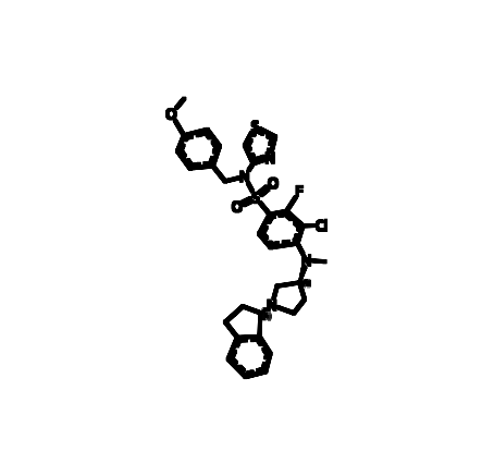 COc1ccc(CN(c2cscn2)S(=O)(=O)c2ccc(N(C)[C@H]3CCN([C@H]4CCc5ccccc54)C3)c(Cl)c2F)cc1